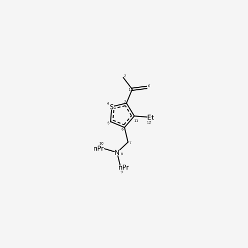 C=C(C)c1scc(CN(CCC)CCC)c1CC